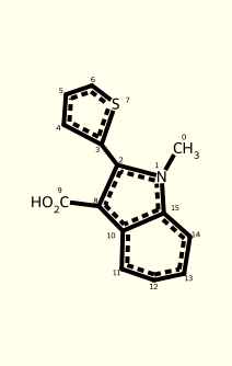 Cn1c(-c2cccs2)c(C(=O)O)c2ccccc21